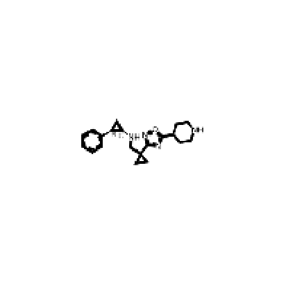 c1ccc([C@H]2C[C@@H]2NCC2(c3noc(C4CCNCC4)n3)CC2)cc1